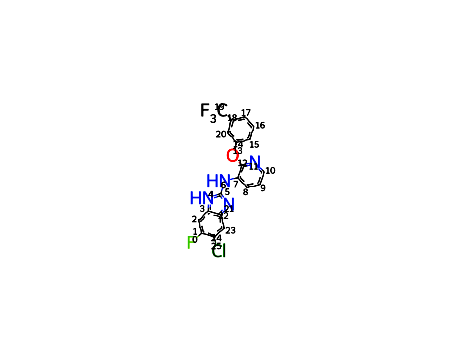 Fc1cc2[nH]c(Nc3cccnc3Oc3cccc(C(F)(F)F)c3)nc2cc1Cl